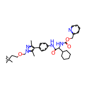 Cc1nn(COCC[Si](C)(C)C)c(C)c1-c1ccc(NC(=O)C(NC(=O)OCc2ccccn2)C2CCCCC2)cc1